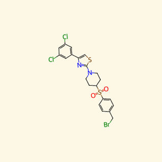 O=S(=O)(c1ccc(CBr)cc1)C1CCN(c2nc(-c3cc(Cl)cc(Cl)c3)cs2)CC1